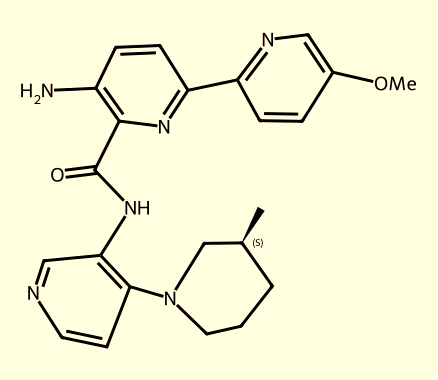 COc1ccc(-c2ccc(N)c(C(=O)Nc3cnccc3N3CCC[C@H](C)C3)n2)nc1